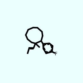 C/C=C/C1(C)CCCCCCCCC1c1ccc(F)cc1